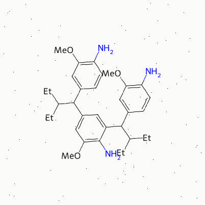 CCC(CC)C(c1ccc(N)c(OC)c1)c1cc(OC)c(N)c(C(c2ccc(N)c(OC)c2)C(CC)CC)c1